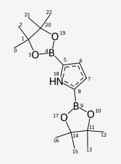 CC1(C)OB(c2ccc(B3OC(C)(C)C(C)(C)O3)[nH]2)OC1(C)C